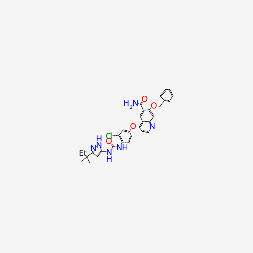 CCC(C)(C)c1cc(NC(=O)Nc2ccc(Oc3ccnc4cc(OCc5ccccc5)c(C(N)=O)cc34)cc2Cl)[nH]n1